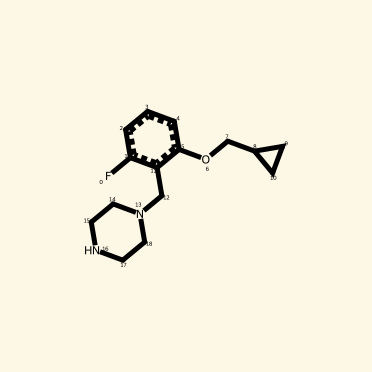 Fc1cccc(OCC2CC2)c1CN1CCNCC1